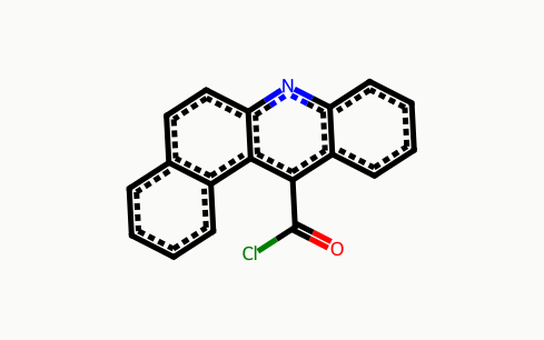 O=C(Cl)c1c2ccccc2nc2ccc3ccccc3c12